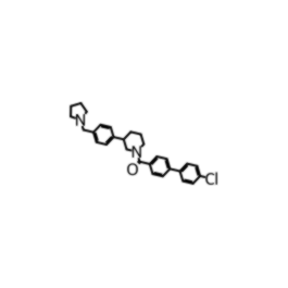 O=C(c1ccc(-c2ccc(Cl)cc2)cc1)N1CCCC(c2ccc(CN3CCCC3)cc2)C1